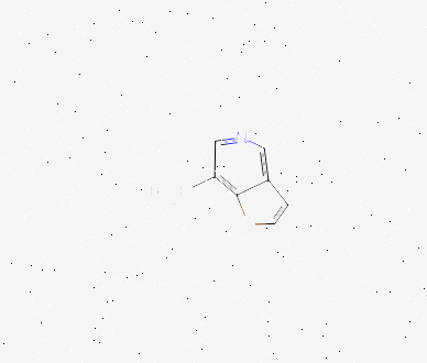 CCOC(=O)c1cncc2ccsc12